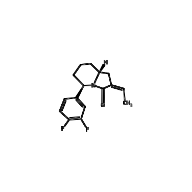 C/C=C1/C[C@H]2CCC[C@H](c3ccc(F)c(F)c3)N2C1=O